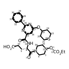 CCOC(=O)ON1CCN(C(=O)[C@H](CCC(=O)O)NC(=O)c2cc(OC3CCSCC3)nc(-c3ccccc3)n2)CC1